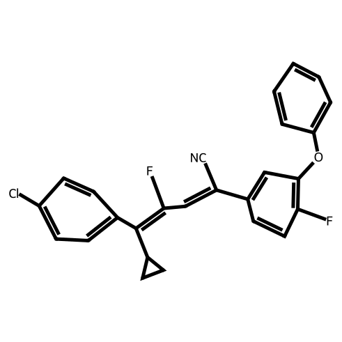 N#C/C(=C\C(F)=C(\c1ccc(Cl)cc1)C1CC1)c1ccc(F)c(Oc2ccccc2)c1